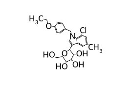 CCOc1ccc(Cn2cc([C@@H]3O[C@H](CO)[C@@H](O)[C@H](O)[C@H]3O)c3cc(C)cc(Cl)c32)cc1